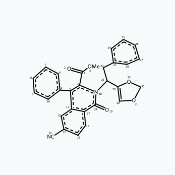 COC(=O)c1c(-c2ccccc2)c2cc(C#N)ccc2c(=O)n1C(Cc1ccccc1)C1=COCO1